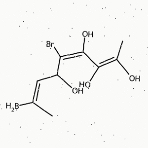 B/C(C)=C/C(O)/C(Br)=C(O)\C(O)=C(/C)O